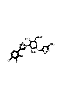 CO[C@@H]1[C@@H](n2cc(-c3ccc(Cl)c(F)c3F)nn2)[C@@H](O)[C@@H](CO)O[C@@H]1CC1CC(C(C)(C)C)=NO1